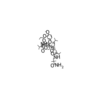 CCC(OC)Oc1cc(C[C@@H](C[C@H]2[C@H](C[C@H](C(=O)NCC(C)(C)C(N)=O)C(C)C)OC(COC(=O)[C@@H](N)C(C)C)N2C(=O)O)C(C)C)ccc1OC